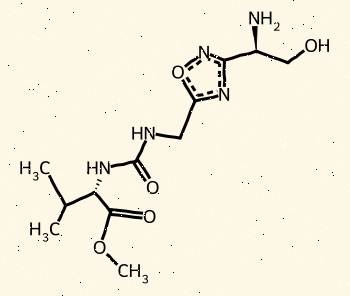 COC(=O)[C@@H](NC(=O)NCc1nc([C@@H](N)CO)no1)C(C)C